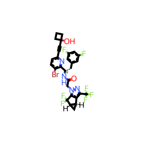 O=C(Cn1nc(C(F)(F)F)c2c1C(F)(F)[C@@H]1C[C@H]21)N[C@@H](Cc1cc(F)cc(F)c1)c1nc(C#CC2(O)CCC2)ccc1Br